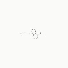 O=C(O)c1ccnc2c(OCC3CC3)cccc12